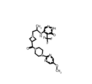 COc1cnc(N2CCN(C(=O)C3CN(CC(C)Nc4cn[nH]c(=O)c4C(F)(F)F)C3)CC2)nc1